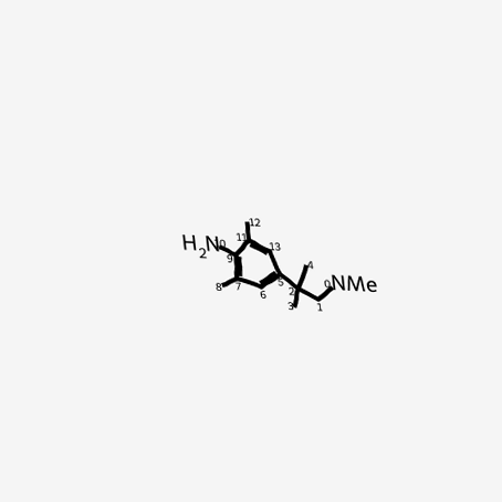 CNCC(C)(C)c1cc(C)c(N)c(C)c1